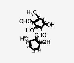 Cc1cc(O)cc(O)c1C=O.O=Cc1c(O)cccc1O